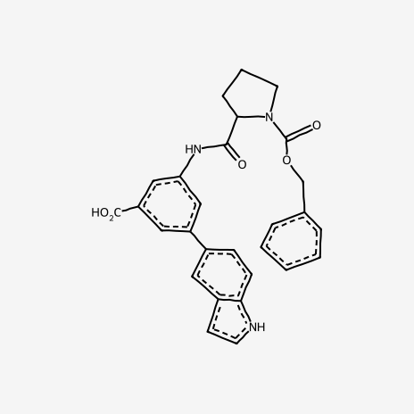 O=C(O)c1cc(NC(=O)C2CCCN2C(=O)OCc2ccccc2)cc(-c2ccc3[nH]ccc3c2)c1